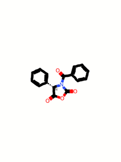 O=C1OC(=O)N(C(=O)c2ccccc2)[C@H]1c1ccccc1